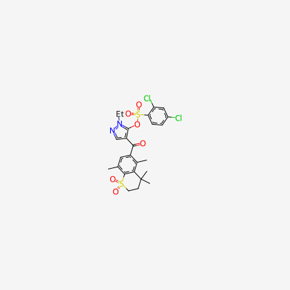 CCn1ncc(C(=O)c2cc(C)c3c(c2C)C(C)(C)CCS3(=O)=O)c1OS(=O)(=O)c1ccc(Cl)cc1Cl